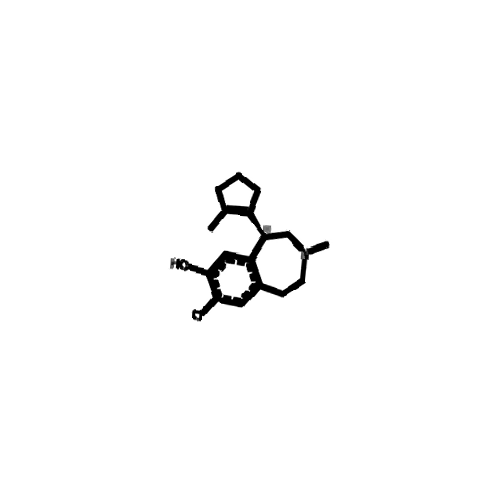 CC1=C([C@H]2CN(C)CCc3cc(Cl)c(O)cc32)CCC1